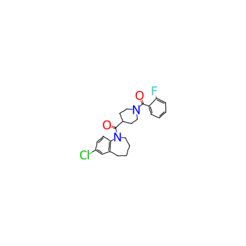 O=C(c1ccccc1F)N1CCC(C(=O)N2CCCCc3cc(Cl)ccc32)CC1